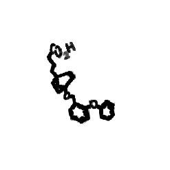 O=C(O)CCCC12CCC(OCc3ccccc3Oc3ccccc3)(CC1)C2